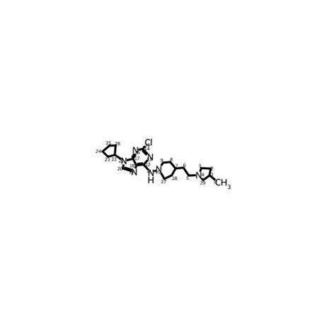 CC1CCN(CCC2CCN(Nc3nc(Cl)nc4c3ncn4C3CCCC3)CC2)C1